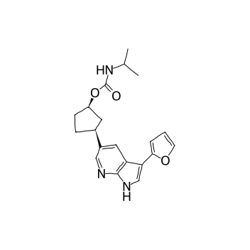 CC(C)NC(=O)O[C@@H]1CC[C@H](c2cnc3[nH]cc(-c4ccco4)c3c2)C1